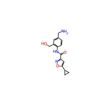 NCc1ccc(NC(=O)c2cc(C3CC3)on2)c(CO)c1